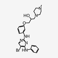 CN1CCN(CC(O)COc2cccc(Nc3ncc(Br)c(Nc4ccccc4)n3)c2)CC1